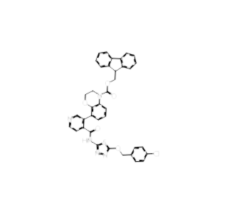 O=C(Nc1nnc(OCc2ccc(Cl)cc2)s1)c1ccncc1-c1cccc2c1OCCN2C(=O)OCC1c2ccccc2-c2ccccc21